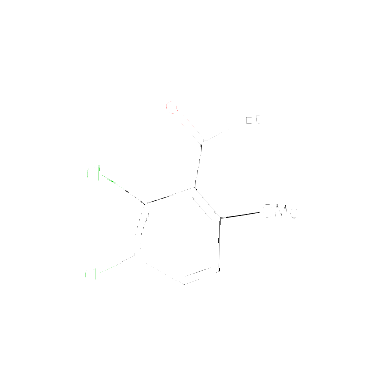 CCC(=O)c1c(OC)ccc(Cl)c1Cl